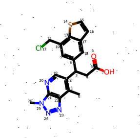 Cc1c(C(CC(=O)O)c2cc(CCl)c3sccc3c2)cnc2c1nnn2C